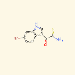 NC(=S)C(=O)c1c[nH]c2cc(Br)ccc12